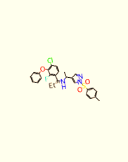 CC[C@@H](NC(C)c1cnn(S(=O)(=O)c2ccc(C)cc2)c1)c1ccc(Cl)c(Oc2ccccc2)c1F